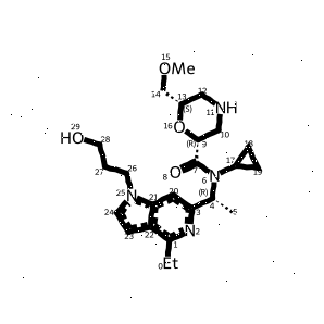 CCc1nc([C@@H](C)N(C(=O)[C@H]2CNC[C@@H](COC)O2)C2CC2)cc2c1ccn2CCCO